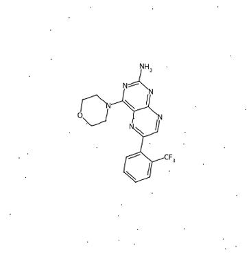 Nc1nc(N2CCOCC2)c2nc(-c3ccccc3C(F)(F)F)cnc2n1